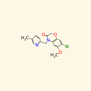 COc1cc2c(cc1Br)OCC(=O)N2Cc1ccc(C)cn1